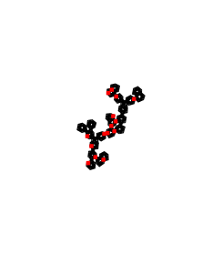 c1ccc(-c2ccc(N(c3ccc(-c4cccc(-c5cc(-c6cc(-c7ccc(N(c8ccc(-c9cccc%10ccccc9%10)cc8)c8ccc(-c9cccc%10ccccc9%10)cc8)cc7)ccc6-c6ccccc6)c6ccccc6c5)c4)cc3)c3ccc(-c4ccc(-c5ccccc5)c(-c5cccc6ccccc56)c4)cc3)cc2-c2ccccc2)cc1